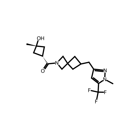 Cn1nc(CC2CC3(C2)CN(C(=O)[C@H]2C[C@@](C)(O)C2)C3)cc1C(F)(F)F